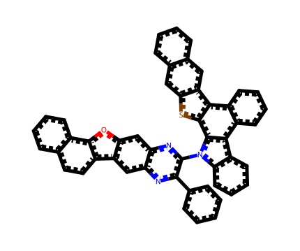 c1ccc(-c2nc3cc4c(cc3nc2-n2c3ccccc3c3c5ccccc5c5c6cc7ccccc7cc6sc5c32)oc2c3ccccc3ccc42)cc1